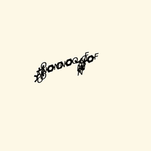 CC(=O)C(C)N1C(=O)N(c2ccc(N3CCN(c4ccc(OCC5COC(Cn6cncn6)(c6ccc(F)cc6F)O5)cc4)CC3)cc2)C(=O)C1(C)C